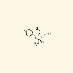 Cc1ccc(COP(N)(=O)N(CCCl)CCCl)cc1